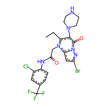 CCc1c(N2CCNCC2)c(=O)n2nc(Br)cc2n1CC(=O)Nc1ccc(C(F)(F)F)cc1Cl